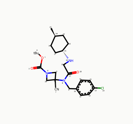 CC(C)(C)OC(=O)N1CC(C#N)(N(Cc2ccc(Cl)cc2)C(=O)CN[C@H]2CC[C@H](C)CC2)C1